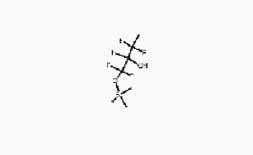 CC(F)(F)C(O)(F)C(F)(F)O[Si](C)(C)C